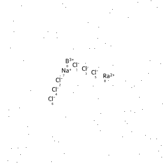 [B+3].[Cl-].[Cl-].[Cl-].[Cl-].[Cl-].[Cl-].[Na+].[Ra+2]